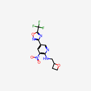 O=[N+]([O-])c1cc(-c2noc(C(F)(F)F)n2)cnc1NCC1CCO1